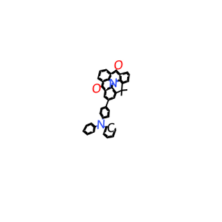 CC1(C)c2cccc3c(=O)c4cccc5c(=O)c6cc(-c7ccc(N(c8ccccc8)c8ccccc8)cc7)cc1c6n(c23)c45